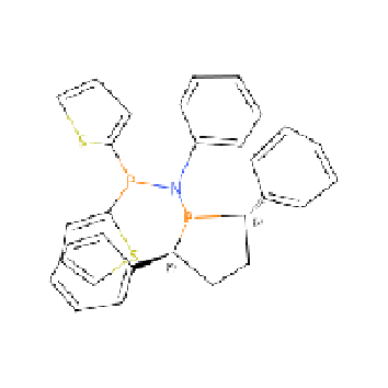 c1ccc([C@@H]2CC[C@@H](c3ccccc3)P2N(c2ccccc2)P(c2cccs2)c2cccs2)cc1